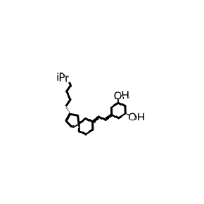 CC(C)CCCC[C@H]1CC[C@@]2(CCC/C(=C\C=C3C[C@@H](O)C[C@H](O)C3)C2)C1